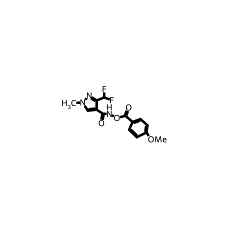 COc1ccc(C(=O)ONC(=O)c2cn(C)nc2C(F)F)cc1